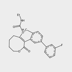 CCNC(=O)O/C1=C(\c2cc(-c3cccc(F)c3)ccc2C)C(=O)OCCCC1